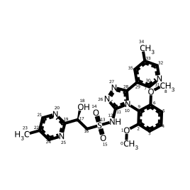 COc1cccc(OC)c1-n1c(NS(=O)(=O)C[C@H](O)c2ncc(C)cn2)nnc1-c1cncc(C)c1